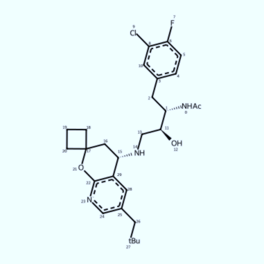 CC(=O)N[C@@H](Cc1ccc(F)c(Cl)c1)[C@@H](O)CN[C@H]1CC2(CCC2)Oc2ncc(CC(C)(C)C)cc21